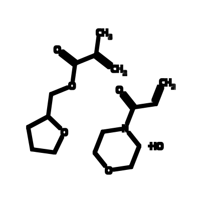 C=C(C)C(=O)OCC1CCCO1.C=CC(=O)N1CCOCC1.[OH]